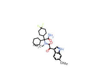 COc1ccc2c(C(=O)C(=O)N(CC(=O)O)C(C(N)=O)(C3CCCCC3)C3CCC(F)(F)CC3)c[nH]c2c1